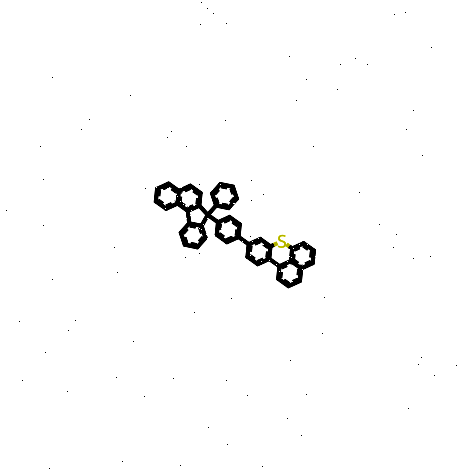 c1ccc(C2(c3ccc(-c4ccc5c(c4)Sc4cccc6cccc-5c46)cc3)c3ccccc3-c3c2ccc2ccccc32)cc1